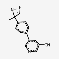 CC(N)(CF)c1ccc(-c2cncc(C#N)c2)cc1